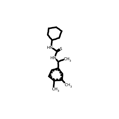 Cc1ccc(C(C)NC(=S)NC2CCCCC2)cc1C